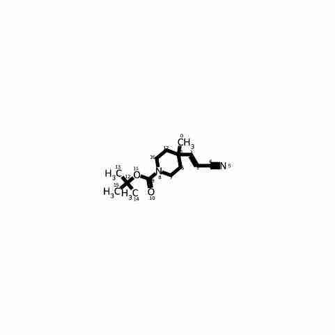 CC1(C=CC#N)CCN(C(=O)OC(C)(C)C)CC1